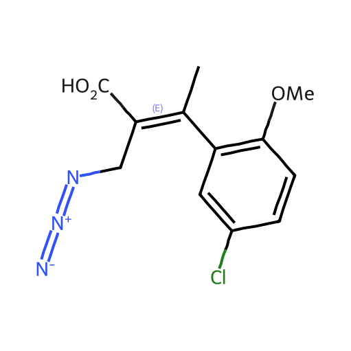 COc1ccc(Cl)cc1/C(C)=C(\CN=[N+]=[N-])C(=O)O